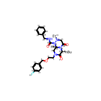 CCCC[C@H]1C(=O)N(CCOCc2ccc(F)cc2)C[C@H]2N1C(=O)CN(CC)N2C(=O)NCc1ccccc1